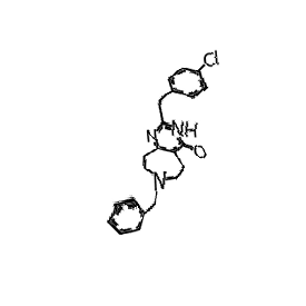 O=c1[nH]c(Cc2ccc(Cl)cc2)nc2c1CCN(Cc1ccccc1)CC2